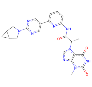 C[C@@H](C(=O)Nc1cccc(-c2cnc(N3CC4CC4C3)nc2)n1)n1cnc2c1c(=O)[nH]c(=O)n2C